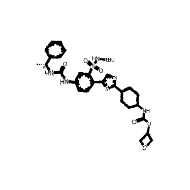 C[C@@H](NC(=O)Nc1ccc(-c2cnc(C3CCC(NC(=O)OC4COC4)CC3)s2)c(S(=O)(=O)NC(C)(C)C)c1)c1ccccc1